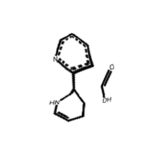 C1=CNC(c2ccccn2)CC1.O=CO